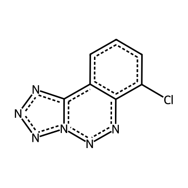 Clc1cccc2c1nnn1nnnc21